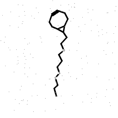 [CH2]CCSSCCCOCCC1C2CCC#CCCC21